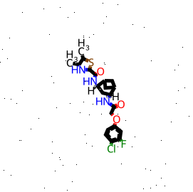 CC1NC(C(=O)N[C@@H]2C[C@H](NC(=O)COc3ccc(Cl)c(F)c3)C3CC2C3)SC1C